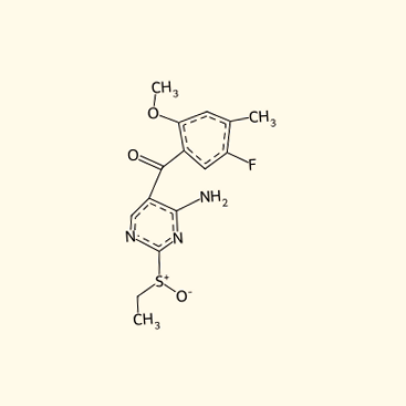 CC[S+]([O-])c1ncc(C(=O)c2cc(F)c(C)cc2OC)c(N)n1